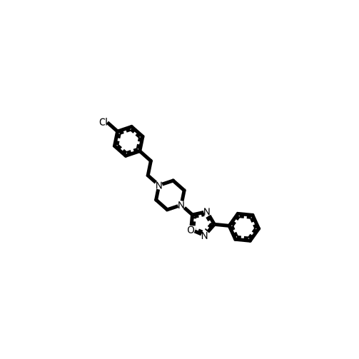 Clc1ccc(CCN2CCN(c3nc(-c4ccccc4)no3)CC2)cc1